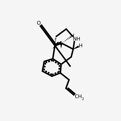 C=CCc1cccc2c1C[C@H]1NCC[C@@]23CC(=O)CC[C@@H]13